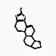 Nc1nc2c(s1)C1=CCC3C4CCCC4CCC3C1CC2